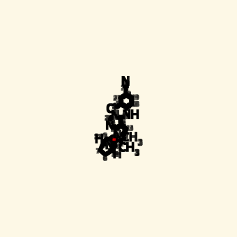 CC(C)ON1[C@H]2CC[C@H]1CC(n1ccc3c(Nc4ccc(C#N)cc4Cl)ncnc31)C2